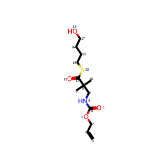 C=CCOC(=O)NCC(C)(C)C(=O)SCCCCO